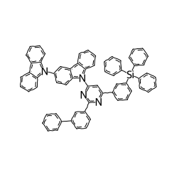 c1ccc(-c2cccc(-c3nc(-c4cccc([Si](c5ccccc5)(c5ccccc5)c5ccccc5)c4)cc(-n4c5ccccc5c5cc(-n6c7ccccc7c7ccccc76)ccc54)n3)c2)cc1